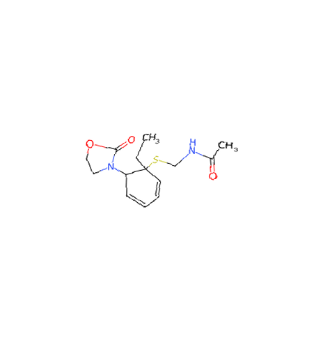 CCC1(SCNC(C)=O)C=CC=CC1N1CCOC1=O